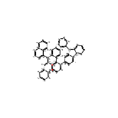 c1ccc(-n2c3ccccc3c3ccc(-c4ccccc4-c4ccccc4N(c4ccc5ccccc5c4)c4cccc5ccccc45)cc32)cc1